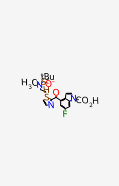 CN(CC[SH]1C=CN=C1C(=O)c1cc(F)cc2c1ccn2C(=O)O)[S@@+]([O-])C(C)(C)C